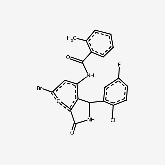 Cc1ccccc1C(=O)Nc1cc(Br)cc2c1C(c1cc(F)ccc1Cl)NC2=O